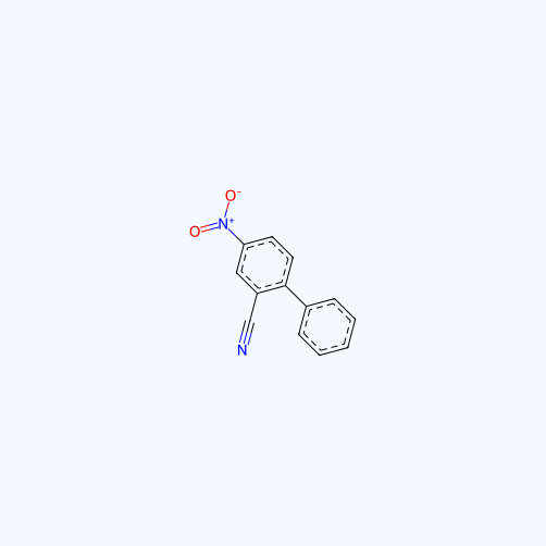 N#Cc1cc([N+](=O)[O-])ccc1-c1ccccc1